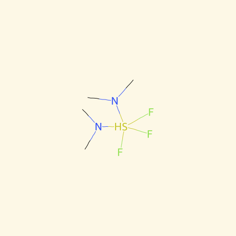 CN(C)[SH](F)(F)(F)N(C)C